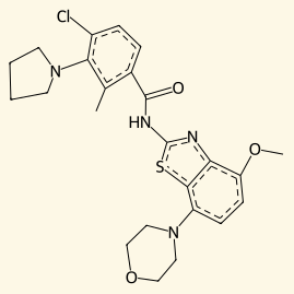 COc1ccc(N2CCOCC2)c2sc(NC(=O)c3ccc(Cl)c(N4CCCC4)c3C)nc12